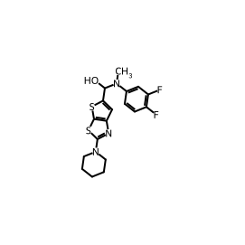 CN(c1ccc(F)c(F)c1)C(O)c1cc2nc(N3CCCCC3)sc2s1